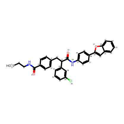 O=C(NCCS(=O)(=O)O)c1ccc(CC(C(=O)Nc2ccc(-c3cc4ccccc4o3)cc2)c2cccc(Cl)c2)cc1